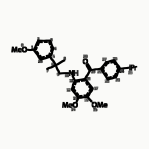 COc1cccc(C(C)(C)CNc2cc(OC)c(OC)cc2C(=O)c2ccc(C(C)C)cc2)c1